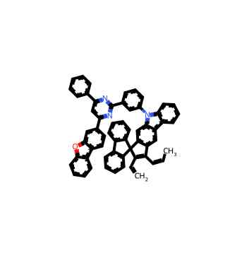 C=CC1=C(/C=C\C)c2cc3c4ccccc4n(-c4cccc(-c5nc(-c6ccccc6)cc(-c6ccc7c(c6)oc6ccccc67)n5)c4)c3cc2C12c1ccccc1-c1ccccc12